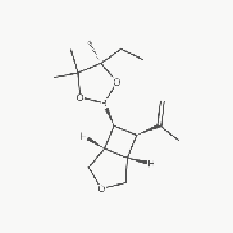 C=C(C)[C@H]1[C@@H]2COC[C@@H]2[C@H]1B1OC(C)(C)[C@@](C)(CC)O1